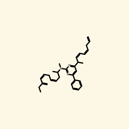 C=CC/C=C\C=C/C(C)c1cc(-c2ccccc2)nc(N(C)C(C)C/C=C\C/C=C\C(=C)CC)n1